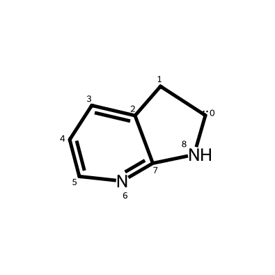 [C]1Cc2cccnc2N1